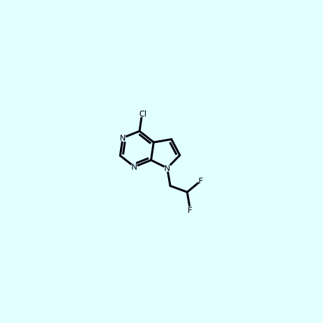 FC(F)Cn1ccc2c(Cl)ncnc21